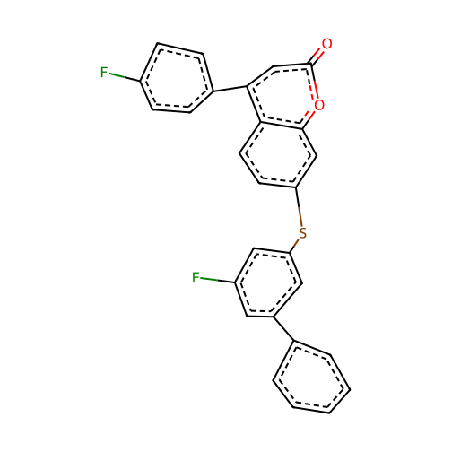 O=c1cc(-c2ccc(F)cc2)c2ccc(Sc3cc(F)cc(-c4ccccc4)c3)cc2o1